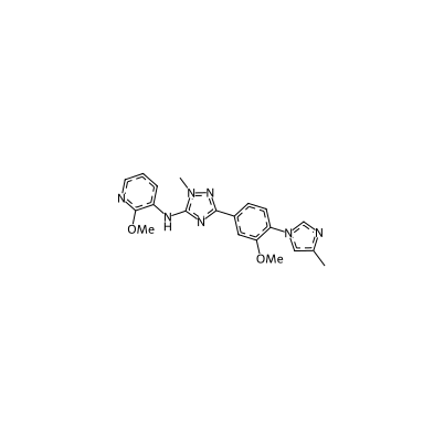 COc1cc(-c2nc(Nc3cccnc3OC)n(C)n2)ccc1-n1cnc(C)c1